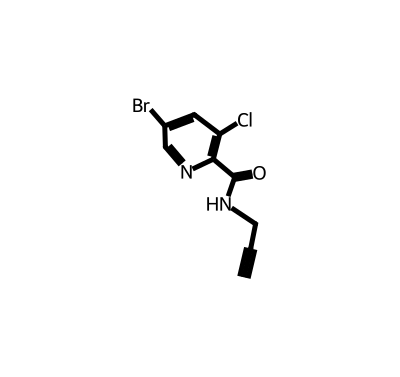 C#CCNC(=O)c1ncc(Br)cc1Cl